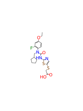 CCOc1ccc(N(CC2CCCC2)C(=O)Nc2ncc(SCC(=O)O)s2)c(F)c1